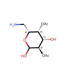 CC(=O)O[C@@H]1[C@H](O)[C@@H](OC(C)=O)C(O)O[C@@H]1CN